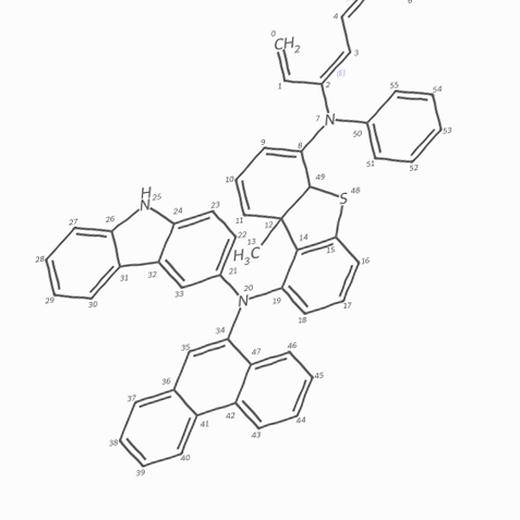 C=C/C(=C\C=C/C)N(C1=CC=CC2(C)c3c(cccc3N(c3ccc4[nH]c5ccccc5c4c3)c3cc4ccccc4c4ccccc34)SC12)c1ccccc1